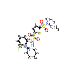 CN(C)S(=O)(=O)c1ccc(S(=O)(=O)Nc2cccc(F)c2N2CCCCC2)s1